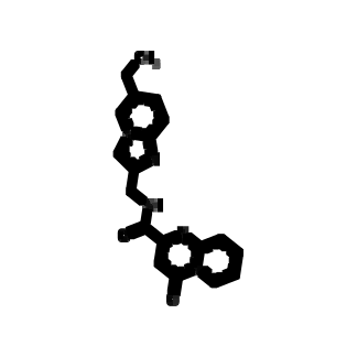 CCc1ccc2nc(CNC(=O)c3cc(=O)n4ccccc4n3)cn2c1